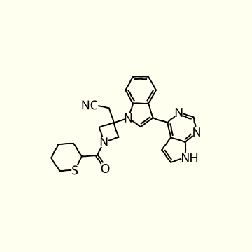 N#CCC1(n2cc(-c3ncnc4[nH]ccc34)c3ccccc32)CN(C(=O)C2CCCCS2)C1